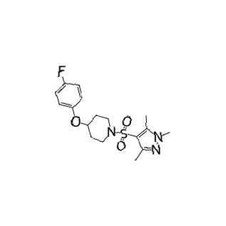 Cc1nn(C)c(C)c1S(=O)(=O)N1CCC(Oc2ccc(F)cc2)CC1